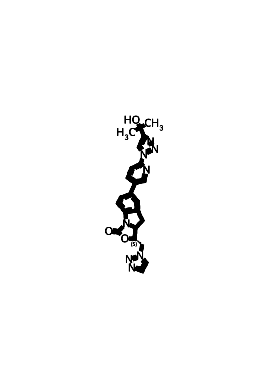 CC(C)(O)c1cn(-c2ccc(-c3ccc4c(c3)CC3[C@H](Cn5ccnn5)OC(=O)N43)cn2)nn1